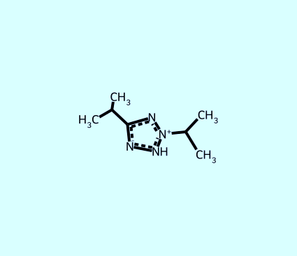 CC(C)c1n[nH][n+](C(C)C)n1